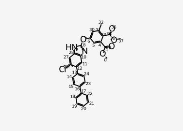 COC(=O)c1cc(Oc2nc3cc(-c4ccc(-c5ccccc5)cc4)c(Cl)cc3[nH]2)cc(C)c1C(=O)OC